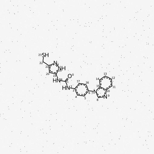 O=C(Nc1ccc(-n2cnc3ccccc32)cc1)Nc1cc(CS)n[nH]1